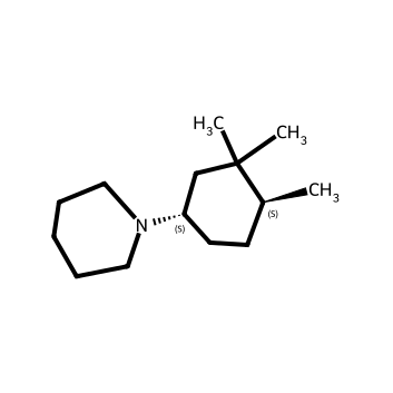 C[C@H]1CC[C@H](N2CCCCC2)CC1(C)C